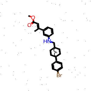 COC(=O)/C=C(\C)c1cccc(NCC23CCC(c4ccc(Br)cc4)(CC2)CC3)c1